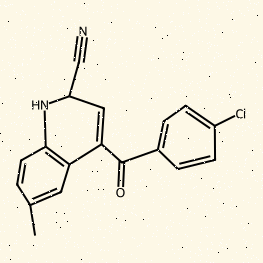 Cc1ccc2c(c1)C(C(=O)c1ccc(Cl)cc1)=CC(C#N)N2